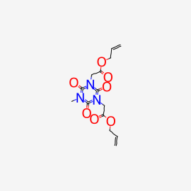 C=CCOC(=O)Cn1c(=O)n(C)c(=O)n(CC(=O)OCC=C)c1=O